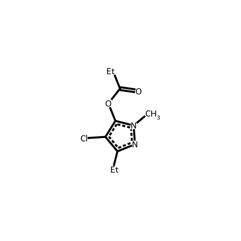 CCC(=O)Oc1c(Cl)c(CC)nn1C